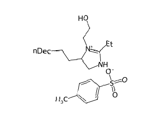 CCCCCCCCCCCCC1CNC(CC)=[N+]1CCO.Cc1ccc(S(=O)(=O)[O-])cc1